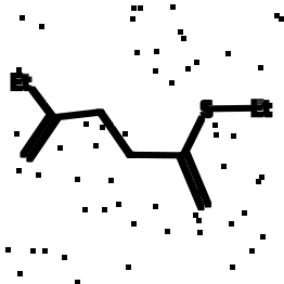 C=C(CC)CCC(=C)SCC